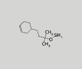 CC(C)(CCC1CC=CCC1)O[SiH3]